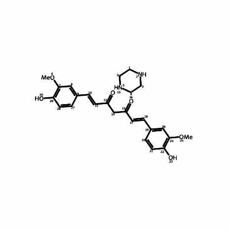 C1CNCCN1.COc1cc(C=CC(=O)CC(=O)C=Cc2ccc(O)c(OC)c2)ccc1O